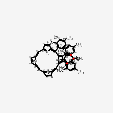 Cc1cc(C)c(-c2c(-c3c(C)cc(C)cc3C)c3c(-c4c(C)cc(C)cc4C)c4nc(cc5ccc(cc6nc(cc2n3-c2c(C)cc(C)cc2C)C=C6)[nH]5)C=C4)c(C)c1.[Fe]